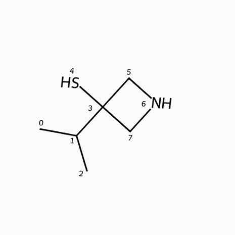 CC(C)C1(S)CNC1